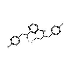 CCCN(Cc1ccc(F)cc1)Nc1ncnc(NCc2ccc(F)cc2)n1